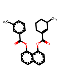 Cc1cccc(C(=O)Oc2cccc3cccc(OC(=O)C4=CC(C)CCC4)c23)c1